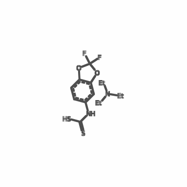 CCN(CC)CC.FC1(F)Oc2ccc(NC(=S)S)cc2O1